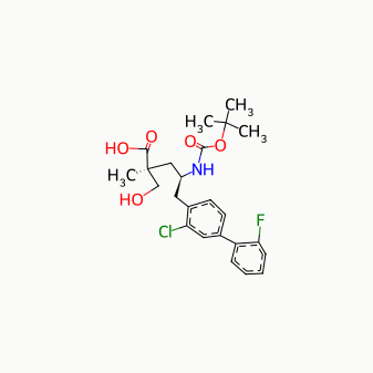 CC(C)(C)OC(=O)N[C@@H](Cc1ccc(-c2ccccc2F)cc1Cl)C[C@@](C)(CO)C(=O)O